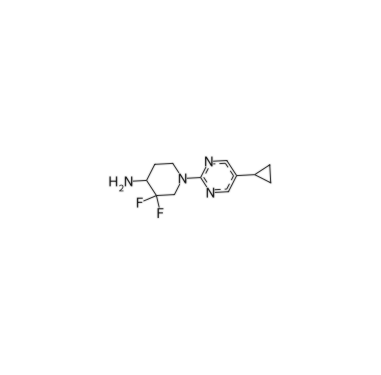 NC1CCN(c2ncc(C3CC3)cn2)CC1(F)F